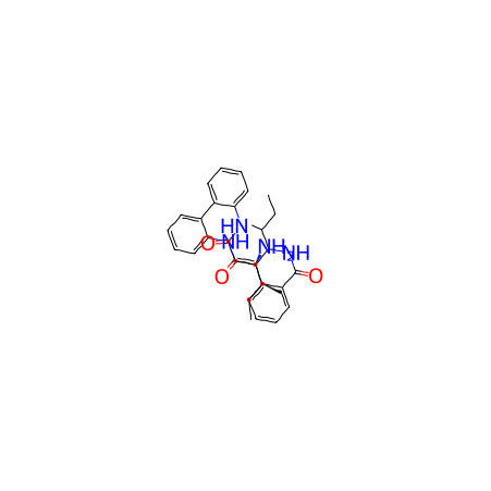 CCC(C)C1NC(=O)c2ccccc2/C1=C/C(=O)Nc1ccccc1-c1ccccc1NC(=O)[C@@H](N)[C@@H](C)CC